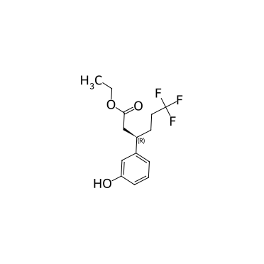 CCOC(=O)C[C@@H](CCC(F)(F)F)c1cccc(O)c1